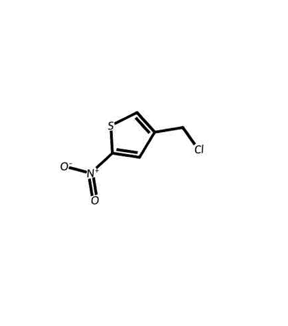 O=[N+]([O-])c1cc(CCl)cs1